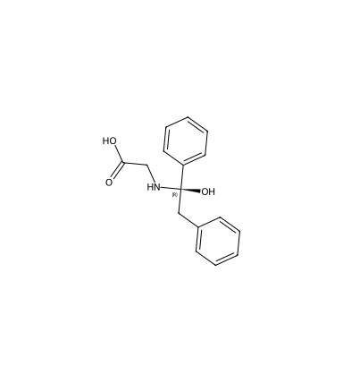 O=C(O)CN[C@@](O)(Cc1ccccc1)c1ccccc1